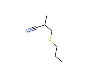 CCCSCC(C)C#N